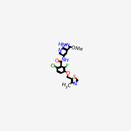 COc1n[nH]c2ncc(NC(=O)c3c(Cl)ccc(OCc4scnc4C)c3F)cc12